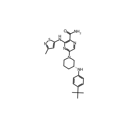 Cc1cc(Nc2nc(N3CCC[C@@H](Nc4ccc(C(C)(C)C)cc4)C3)cnc2C(N)=O)sn1